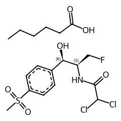 CCCCCC(=O)O.CS(=O)(=O)c1ccc([C@@H](O)[C@@H](CF)NC(=O)C(Cl)Cl)cc1